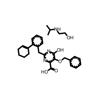 CC(C)NCCO.O=C(O)c1nc(Cc2ccccc2C2=CCCCC2)nc(O)c1OCc1ccccc1